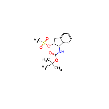 CC(C)(C)OC(=O)NC1c2ccccc2CC1OS(C)(=O)=O